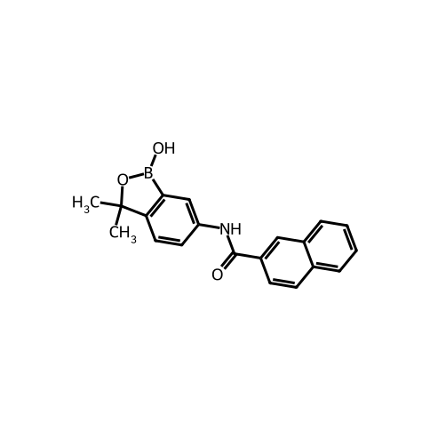 CC1(C)OB(O)c2cc(NC(=O)c3ccc4ccccc4c3)ccc21